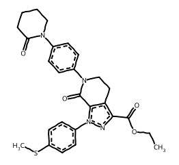 CCOC(=O)c1nn(-c2ccc(SC)cc2)c2c1CCN(c1ccc(N3CCCCC3=O)cc1)C2=O